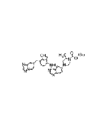 Cc1cc(Nc2ncnc3ccc(N4CCN(C(=O)OC(C)(C)C)[C@H](C)C4)cc23)ccc1Cc1ccn2ncnc2c1